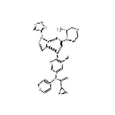 C[C@@H]1COCCN1c1cc(-c2ccc(N(C(=O)C3CC3)c3ccccc3)cc2F)c2cnn(-c3cc[nH]n3)c2n1